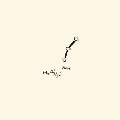 O.[AlH3].[Cl][Ca][Cl].[NaH]